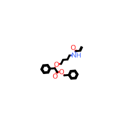 C=CC(=O)NCCCCOC(C(=O)OCc1ccccc1)c1ccccc1